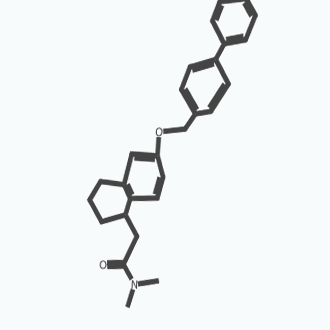 CN(C)C(=O)CC1CCCc2cc(OCc3ccc(-c4ccccc4)cc3)ccc21